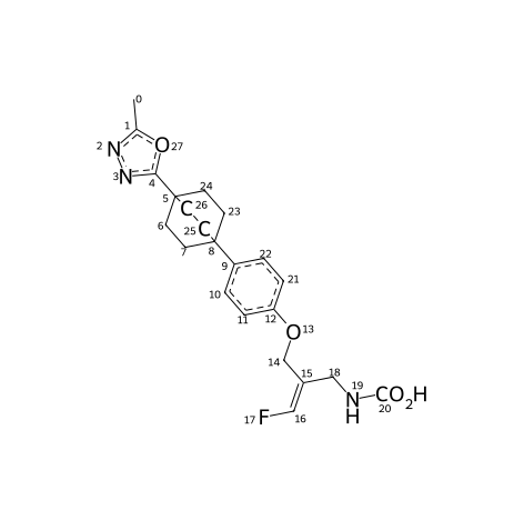 Cc1nnc(C23CCC(c4ccc(OC/C(=C\F)CNC(=O)O)cc4)(CC2)CC3)o1